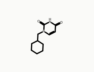 O=c1ccn(CC2CCCCC2)c(=O)[nH]1